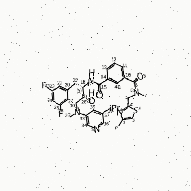 Cc1csc(CN(C)C(=O)c2cccc(C(=O)N[C@@H](Cc3cc(F)cc(F)c3)[C@H](O)CN(C)c3cncc(C(C)C)c3)c2)n1